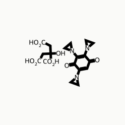 O=C(O)CC(O)(CC(=O)O)C(=O)O.O=C1C=C(N2CC2)C(=O)C(N2CC2)=C1N1CC1